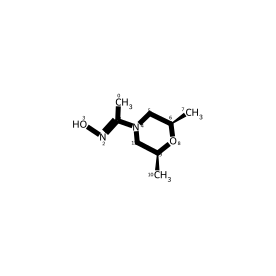 CC(=NO)N1C[C@@H](C)O[C@@H](C)C1